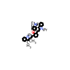 CCN(CC)c1ccc(OC2=C(/C=C/C3=[N+](C(C)C)c4ccccc4C3(C)C)CCC/C2=C\C=C2\N(C(C)C)c3ccccc3C2(C)C)cc1